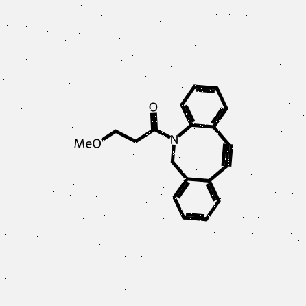 COCCC(=O)N1Cc2ccccc2C#Cc2ccccc21